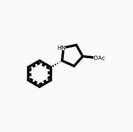 CC(=O)OC1CN[C@@H](c2ccccc2)C1